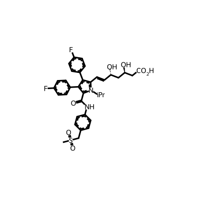 CC(C)n1c(/C=C/[C@H](O)C[C@@H](O)CC(=O)O)c(-c2ccc(F)cc2)c(-c2ccc(F)cc2)c1C(=O)Nc1ccc(CS(C)(=O)=O)cc1